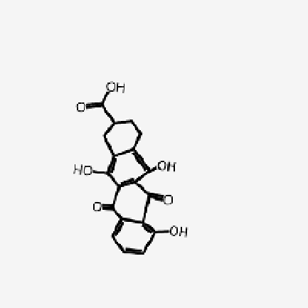 O=C1c2cccc(O)c2C(=O)c2c(O)c3c(c(O)c21)CC(C(=O)O)CC3